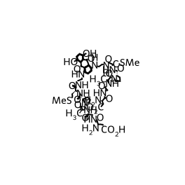 CSCC[C@H](NC(=O)[C@@H]1CCCN1C(=O)[C@H](C)NC(=O)CNC(=O)[C@@H](N)CC(=O)O)C(=O)NCCNc1ccc(NCCNC(=O)[C@H](CCSC)NC(=O)[C@@H]2CCCN2C(=O)[C@H](C)NC(=O)CNC(=O)[C@@H](N)CC(=O)O)c2c1C(=O)c1c(O)ccc(O)c1C2=O